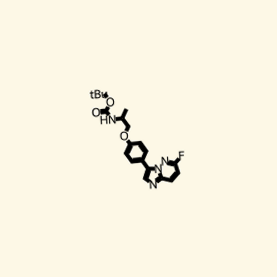 CC(COc1ccc(-c2cnc3ccc(F)nn23)cc1)NC(=O)OC(C)(C)C